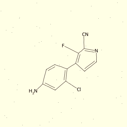 N#Cc1nccc(-c2ccc(N)cc2Cl)c1F